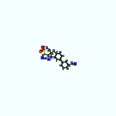 N#C/N=C1/c2cc(-c3cccc(C#N)c3)ccc2CC12CCS(=O)(=O)CC2